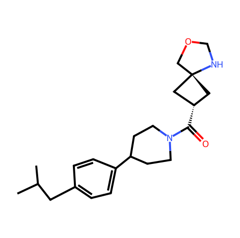 CC(C)Cc1ccc(C2CCN(C(=O)[C@H]3C[C@]4(COCN4)C3)CC2)cc1